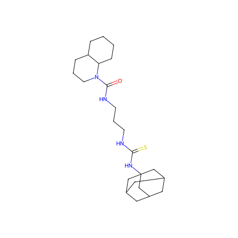 O=C(NCCCNC(=S)NC12CC3CC(CC(C3)C1)C2)N1CCCC2CCCCC21